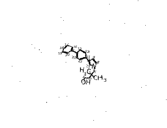 CC(C)([CH]CO)Cn1ccc(-c2ccc(-c3ccccc3)cc2)c1